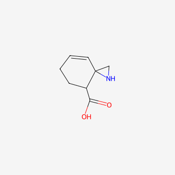 O=C(O)C1CCC=CC12CN2